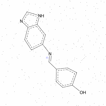 Oc1ccc(/C=N/c2ccc3nc[nH]c3c2)cc1